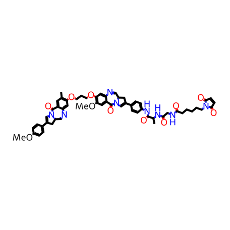 COc1ccc(C2=CN3C(=O)c4cc(C)c(OCCCOc5cc6c(cc5OC)C(=O)N5C=C(c7ccc(NC(=O)C(C)NC(=O)CNC(=O)CCCCCN8C(=O)C=CC8=O)cc7)CC5C=N6)cc4N=CC3C2)cc1